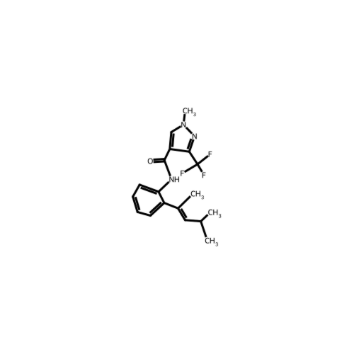 C/C(=C\C(C)C)c1ccccc1NC(=O)c1cn(C)nc1C(F)(F)F